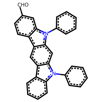 O=Cc1ccc2c3cc4c5ccccc5n(-c5ccccc5)c4cc3n(-c3ccccc3)c2c1